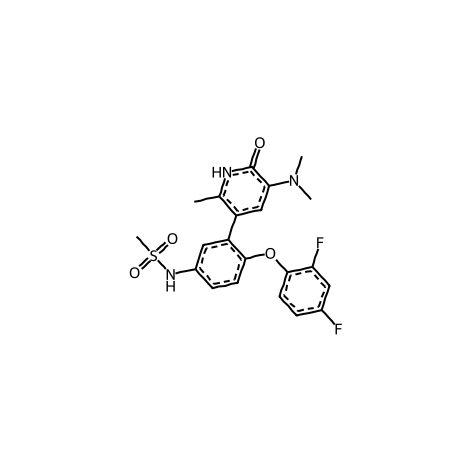 Cc1[nH]c(=O)c(N(C)C)cc1-c1cc(NS(C)(=O)=O)ccc1Oc1ccc(F)cc1F